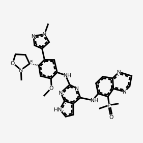 COc1cc([C@H]2CCON2C)c(-c2cnn(C)c2)cc1Nc1nc(Nc2ccc3nccnc3c2P(C)(C)=O)c2cc[nH]c2n1